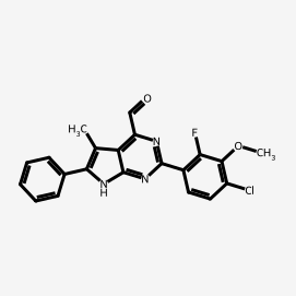 COc1c(Cl)ccc(-c2nc(C=O)c3c(C)c(-c4ccccc4)[nH]c3n2)c1F